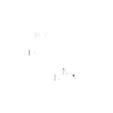 Cc1ccc2c(c(F)nn2C)c1C